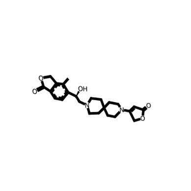 Cc1c([C@@H](O)CN2CCC3(CC2)CCN(C2=CC(=O)OC2)CC3)ccc2c1COC2=O